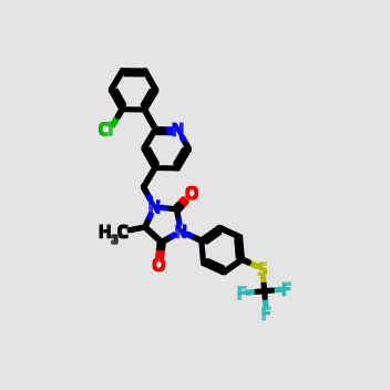 CC1C(=O)N(c2ccc(SC(F)(F)F)cc2)C(=O)N1Cc1ccnc(-c2ccccc2Cl)c1